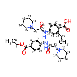 CCOC(=O)c1ccc(NC(=O)CN2CCCCC2)cc1.CCc1cc(NC(=O)CN2CCCCC2)ccc1C(=O)O